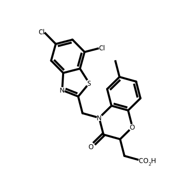 Cc1ccc2c(c1)N(Cc1nc3cc(Cl)cc(Cl)c3s1)C(=O)C(CC(=O)O)O2